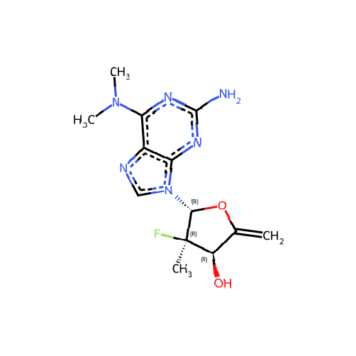 C=C1O[C@@H](n2cnc3c(N(C)C)nc(N)nc32)[C@](C)(F)[C@@H]1O